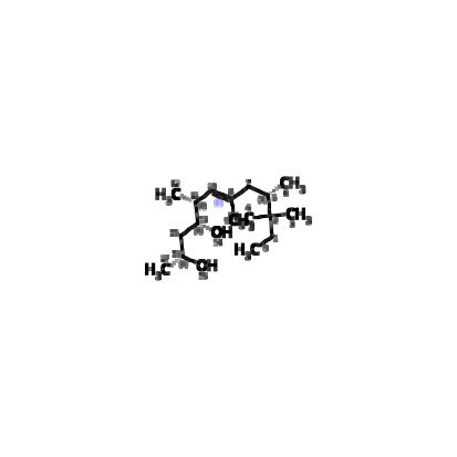 CCC(C)(C)[C@@H](C)C/C(C)=C/[C@@H](C)[C@H](O)C[C@@H](C)O